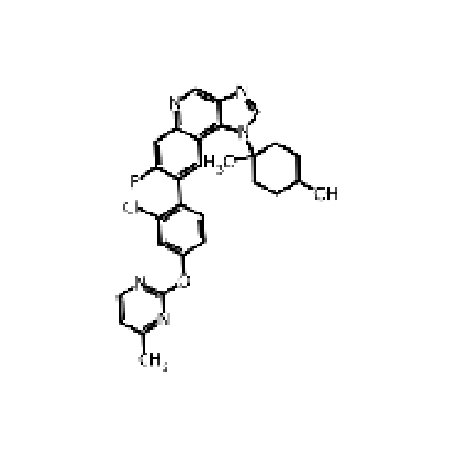 Cc1ccnc(Oc2ccc(-c3cc4c(cc3F)ncc3ncn(C5(C)CCC(O)CC5)c34)c(Cl)c2)n1